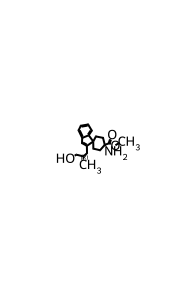 COC(=O)C1(N)CCC2(CC1)C(C[C@@H](C)CO)=Cc1ccccc12